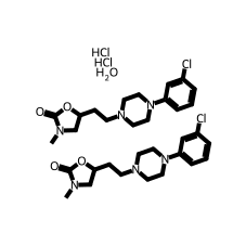 CN1CC(CCN2CCN(c3cccc(Cl)c3)CC2)OC1=O.CN1CC(CCN2CCN(c3cccc(Cl)c3)CC2)OC1=O.Cl.Cl.O